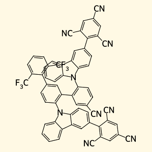 N#Cc1cc(C#N)c(-c2ccc3c(c2)c2ccccc2n3-c2ccc(C#N)cc2-c2cc(-c3c(C(F)(F)F)cccc3C(F)(F)F)ccc2-n2c3ccccc3c3cc(-c4c(C#N)cc(C#N)cc4C#N)ccc32)c(C#N)c1